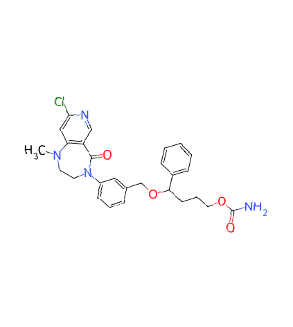 CN1CCN(c2cccc(COC(CCCOC(N)=O)c3ccccc3)c2)C(=O)c2cnc(Cl)cc21